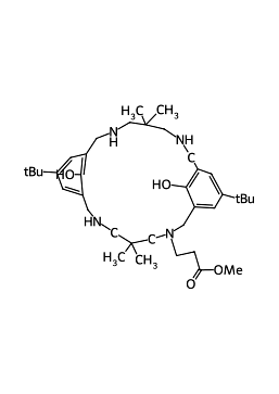 COC(=O)CCN1Cc2cc(C(C)(C)C)cc(c2O)CNCC(C)(C)CNCc2cc(C(C)(C)C)cc(c2O)CNCC(C)(C)C1